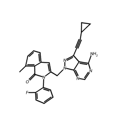 Cc1cccc2cc(Cn3nc(C#CC4CC4)c4c(N)ncnc43)n(-c3ccccc3F)c(=O)c12